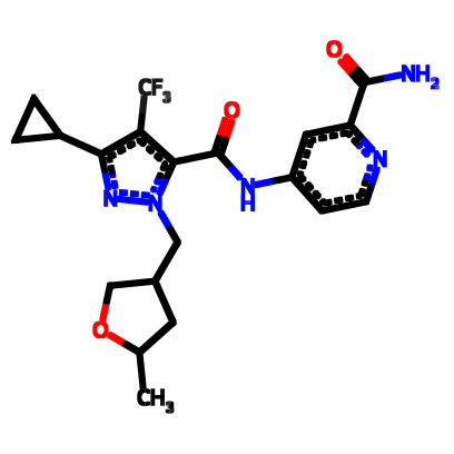 CC1CC(Cn2nc(C3CC3)c(C(F)(F)F)c2C(=O)Nc2ccnc(C(N)=O)c2)CO1